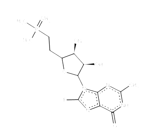 C=P(C)(C)CCC1OC(n2c(F)nc3c(=O)[nH]c(C)nc32)[C@H](O)[C@@H]1O